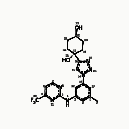 Cc1cc(Nc2nccc(C(F)(F)F)n2)cc(-n2cc([C@]3(O)CC[C@H](O)CC3)nn2)c1